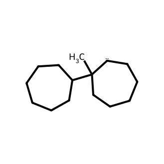 CC1(C2CCCCCC2)[C]CCCCC1